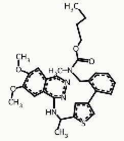 CCCCOC(=O)N(C)Cc1ccccc1-c1csc(C(C)Nc2nncc3cc(OC)c(OC)cc23)c1